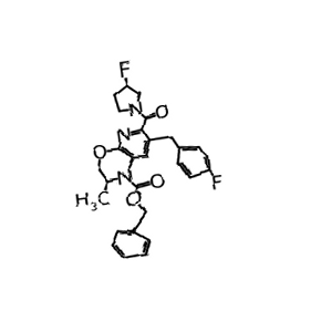 C[C@H]1COc2nc(C(=O)N3CC[C@@H](F)C3)c(Cc3ccc(F)cc3)cc2N1C(=O)OCc1ccccc1